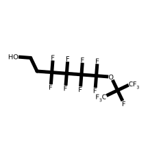 OCCC(F)(F)C(F)(F)C(F)(F)C(F)(F)OC(F)(C(F)(F)F)C(F)(F)F